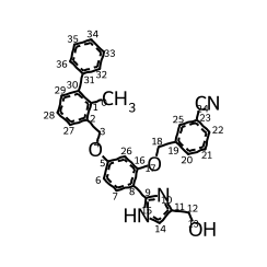 Cc1c(COc2ccc(-c3nc(CO)c[nH]3)c(OCc3cccc(C#N)c3)c2)cccc1-c1ccccc1